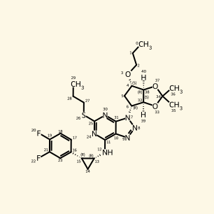 CCCO[C@H]1C[C@@H](n2nnc3c(N[C@@H]4C[C@@H]4c4ccc(F)c(F)c4)nc(SCCC)nc32)[C@@H]2OC(C)(C)O[C@@H]21